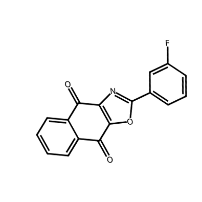 O=C1c2ccccc2C(=O)c2oc(-c3cccc(F)c3)nc21